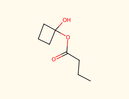 CCCC(=O)OC1(O)CCC1